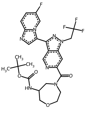 CC(C)(C)OC(=O)NC1COCCN(C(=O)c2cc3c(cn2)c(-c2cnc4ccc(F)cn24)nn3CC(F)(F)F)C1